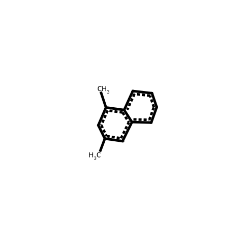 Cc1[c]c2ccccc2c(C)c1